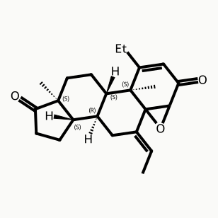 CC=C1C[C@H]2[C@@H]3CCC(=O)[C@@]3(C)CC[C@@H]2[C@@]2(C)C(CC)=CC(=O)C3OC132